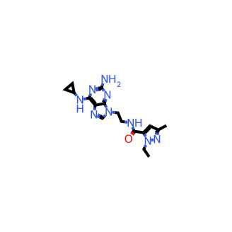 CCn1nc(C)cc1C(=O)NCCn1cnc2c(NC3CC3)nc(N)nc21